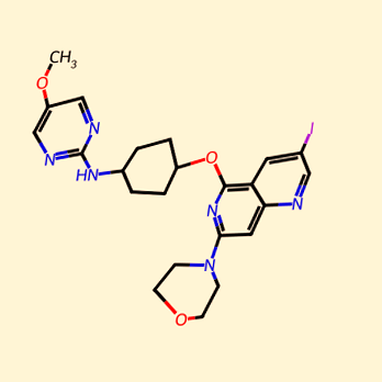 COc1cnc(NC2CCC(Oc3nc(N4CCOCC4)cc4ncc(I)cc34)CC2)nc1